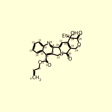 C=CCOC(=O)c1c2c(nc3ccccc13)-c1cc3c(c(=O)n1C2)COC(=O)[C@]3(O)CC